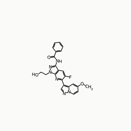 COc1ccn2ncc(-c3nc4c(cc3F)c(NC(=O)c3ccccc3)nn4CCO)c2c1